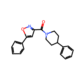 O=C(c1cc(-c2ccccc2)on1)N1CCC(c2ccccc2)CC1